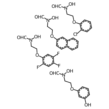 O=CN(O)CCOc1cc(F)c(F)cc1F.O=CN(O)CCOc1ccc2ccccc2c1.O=CN(O)CCOc1cccc(O)c1.O=CN(O)CCOc1ccccc1Cl